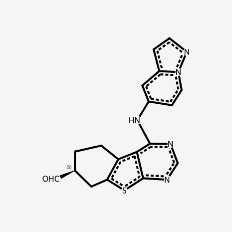 O=C[C@H]1CCc2c(sc3ncnc(Nc4ccn5nccc5c4)c23)C1